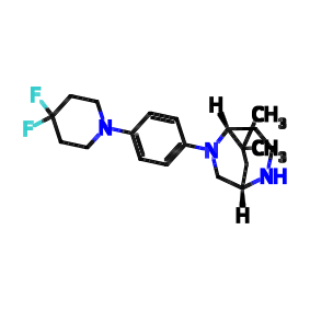 CC1(C)C[C@H]2CN(c3ccc(N4CCC(F)(F)CC4)cc3)[C@@H]1CCN2